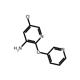 Nc1cc(Cl)cnc1Oc1cccnc1